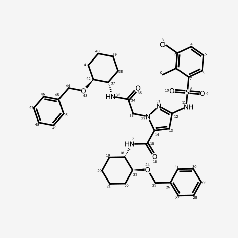 Cc1c(Cl)cccc1S(=O)(=O)Nc1cc(C(=O)N[C@H]2CCCC[C@@H]2OCc2ccccc2)n(CC(=O)N[C@H]2CCCC[C@@H]2OCc2ccccc2)n1